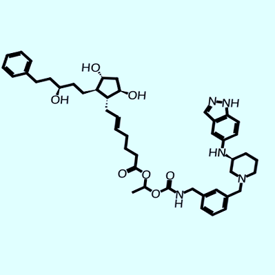 CC(OC(=O)CCCC=CC[C@@H]1[C@@H](CC[C@@H](O)CCc2ccccc2)[C@H](O)C[C@H]1O)OC(=O)NCc1cccc(CN2CCC[C@H](Nc3ccc4[nH]ncc4c3)C2)c1